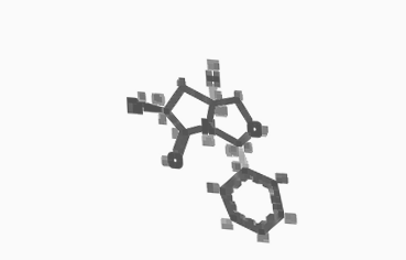 O=C1[C@@H](Br)C[C@H]2CO[C@H](c3ccccc3)N12